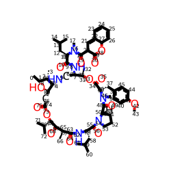 CC[C@H](C)[C@H]1NC[C@@H](NC(=O)[C@@H](CC(C)C)N(C)C(=O)C2C=C3C=CC=CC3OC2=O)[C@@H](C)OC(=O)[C@H](Cc2ccc(OC)cc2)N(C)C(=O)[C@@H]2CCCN2C(=O)[C@H](CC(C)C)NC(=O)[C@@H](C)C(=O)[C@H](C(C)C)OC(=O)C[C@@H]1O